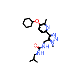 Cc1nc(-c2nnn(C)c2CNC(=O)NCC(C)C)ccc1OC1CCCCC1